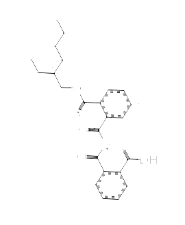 CCCCC(CC)COC(=O)c1ccccc1C(=O)OC(=O)c1ccccc1C(=O)O